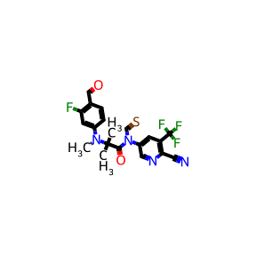 CN(c1ccc(C=O)c(F)c1)C(C)(C)C(=O)N(C=S)c1cnc(C#N)c(C(F)(F)F)c1